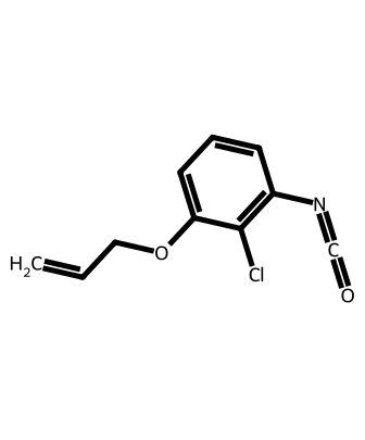 C=CCOc1cccc(N=C=O)c1Cl